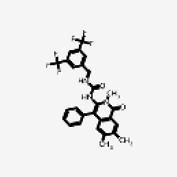 Cc1cc2c(-c3ccccc3)c(NC(=O)NCc3cc(C(F)(F)F)cc(C(F)(F)F)c3)n(C)c(=O)c2cc1C